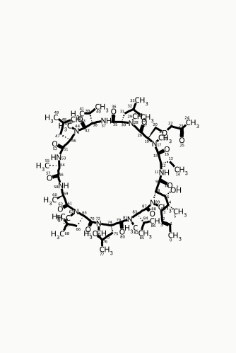 C/C=C/C[C@@H](C)[C@@H](O)[C@H]1C(=O)N[C@@H](CC)C(=O)N(C)[C@H](COCC(C)=O)C(=O)N(C)[C@@H](CC(C)C)C(=O)N[C@@H](C(C)C)C(=O)N(C)[C@@H](CC(C)C)C(=O)N[C@@H](C)C(=O)N[C@H](C)C(=O)N(C)[C@@H](CC(C)C)C(=O)N(C)[C@@H](CC(C)C)C(=O)N(C)[C@@H](C(C)C)C(=O)N1C